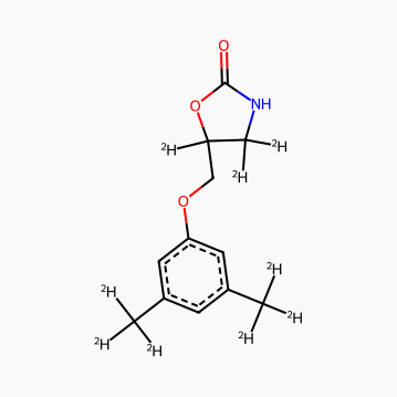 [2H]C([2H])([2H])c1cc(OCC2([2H])OC(=O)NC2([2H])[2H])cc(C([2H])([2H])[2H])c1